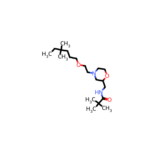 CCC(C)(C)CCCOCCN1CCOC(CNC(=O)C(C)(C)C)C1